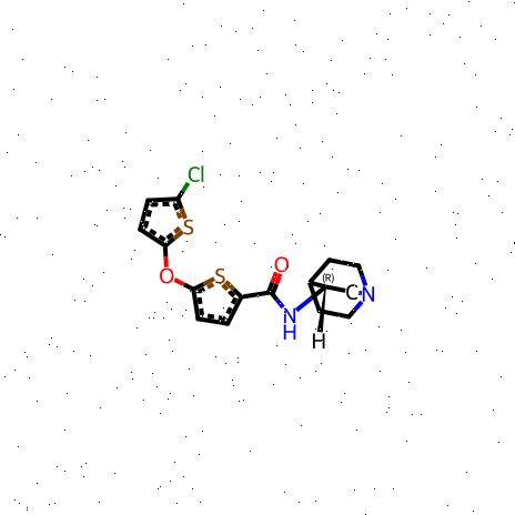 O=C(N[C@H]1CN2CCC1CC2)c1ccc(Oc2ccc(Cl)s2)s1